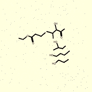 CC(=O)C(O)C(C)C.CCC(C)O.CCCC(=O)OCC.CCCCO.CCCO